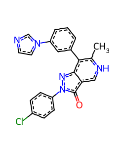 Cc1[nH]cc2c(=O)n(-c3ccc(Cl)cc3)nc-2c1-c1cccc(-n2ccnc2)c1